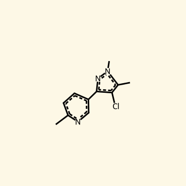 Cc1ccc(-c2nn(C)c(C)c2Cl)cn1